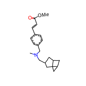 COC(=O)/C=C/c1ccc(CN(C)CC2CC3CC4CC34C2)cc1